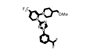 COCC1CCN(C2=CC(C(F)(F)F)=CCN2c2ncn(-c3cccc(C(F)F)c3)n2)CC1